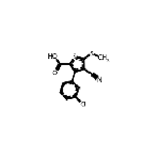 CSc1sc(C(=O)O)c(-c2cccc(Cl)c2)c1C#N